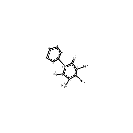 [2H]c1c(C)c([2H])n(-c2ccccc2)c(=O)c1[2H]